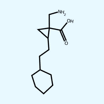 NCC1(C(=O)O)CC1CCC1CCCCC1